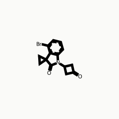 O=C1CC(N2C(=O)C3(CC3)c3c(Br)cccc32)C1